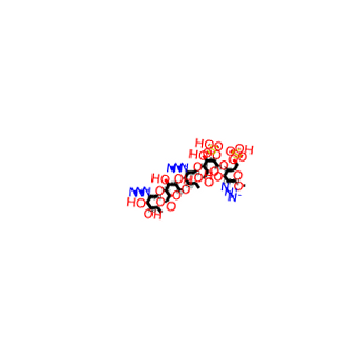 CO[C@H]1OC(COS(=O)(=O)O)[C@@H](O[C@@H]2OC(C=O)[C@@H](O[C@H]3OC(C)[C@@H](O[C@@H]4OC(C=O)[C@@H](O[C@H]5OC(C)[C@@H](O)C(O)[C@@H]5N=[N+]=[N-])C(O)[C@@H]4O)C[C@@H]3N=[N+]=[N-])C(O)[C@@H]2OS(=O)(=O)O)C(O)[C@@H]1N=[N+]=[N-]